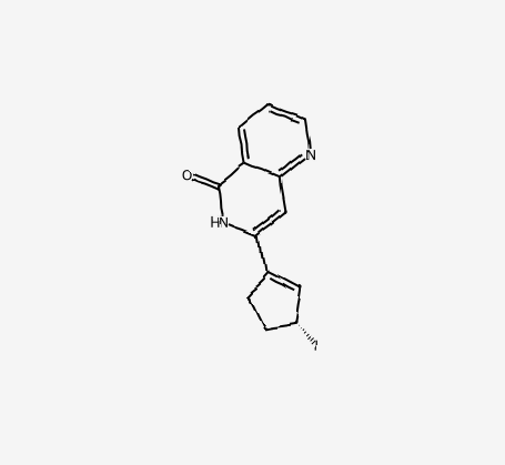 O=c1[nH]c(C2=C[C@H](I)CC2)cc2ncccc12